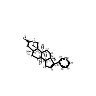 C[C@]12COC(=O)C[C@@H]1CC[C@@H]1[C@@H]2CC[C@]2(C)C(c3cccnc3)=CC[C@@H]12